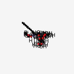 CCCCCCCCCCCCCCCCCC(=O)N[C@@H](CO[C@@H]1OC(CO)[C@@H](O[C@@H]2OC(CO)[C@H](O[C@@H]3OC(CO)[C@H](O)C(O[C@@H]4OC(CO)[C@H](O)C(O)C4O)C3NC(C)=O)C(O[C@]3(C=O)CC(O)[C@@H](NC(C)=O)C([C@H](O)[C@H](O)CO)O3)C2O)C(O)C1O)[C@H](O)/C=C/C(=O)Nc1ccc(OC(F)(F)C(F)(F)F)cc1